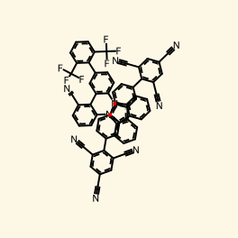 N#Cc1cc(C#N)c(-c2ccc3c(c2)c2ccccc2n3-c2ccc(-c3c(C(F)(F)F)cccc3C(F)(F)F)cc2-c2c(C#N)cccc2-n2c3ccccc3c3cc(-c4c(C#N)cc(C#N)cc4C#N)ccc32)c(C#N)c1